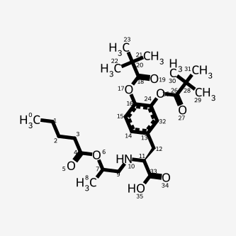 CCCCC(=O)OC(C)CN[C@@H](Cc1ccc(OC(=O)C(C)(C)C)c(OC(=O)C(C)(C)C)c1)C(=O)O